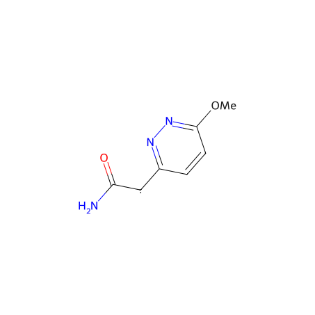 COc1ccc([CH]C(N)=O)nn1